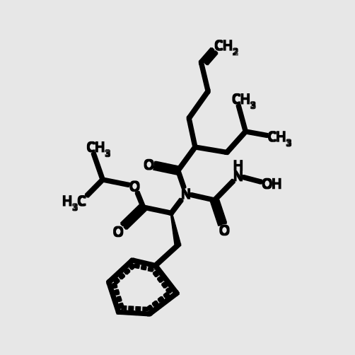 C=CCCC(CC(C)C)C(=O)N(C(=O)NO)[C@@H](Cc1ccccc1)C(=O)OC(C)C